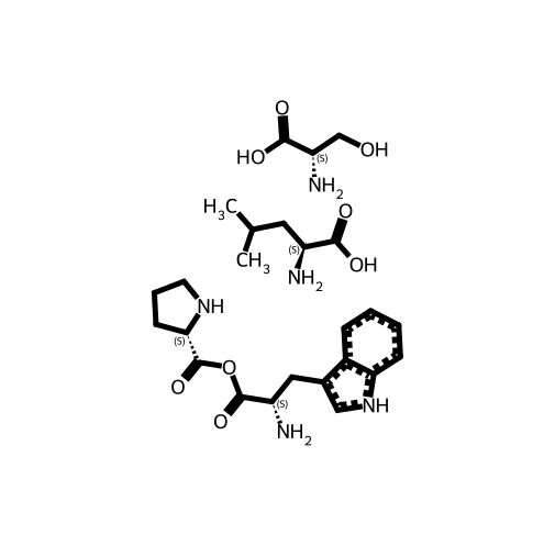 CC(C)C[C@H](N)C(=O)O.N[C@@H](CO)C(=O)O.N[C@@H](Cc1c[nH]c2ccccc12)C(=O)OC(=O)[C@@H]1CCCN1